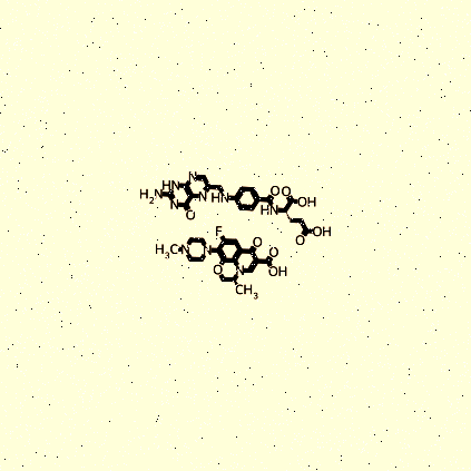 C[C@H]1COc2c(N3CCN(C)CC3)c(F)cc3c(=O)c(C(=O)O)cn1c23.Nc1nc(=O)c2nc(CNc3ccc(C(=O)N[C@@H](CCC(=O)O)C(=O)O)cc3)cnc2[nH]1